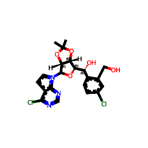 CC1(C)O[C@@H]2[C@@H]([C@H](O)c3ccc(Cl)cc3CO)OC(n3ccc4c(Cl)ncnc43)[C@@H]2O1